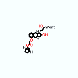 CCCCC[C@H](O)CC[C@@H]1[C@H]2Cc3cccc(OCC(=O)O[C@H]4C[C@@H]5CC[C@H]4C5)c3C[C@H]2C[C@H]1O